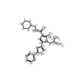 Cc1c(C(=O)NCC2CCCCC2)cc(-c2csc(-c3cnccn3)n2)n1CC(C)C